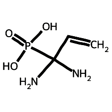 C=CC(N)(N)P(=O)(O)O